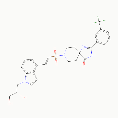 O=C1NC(c2cccc(C(F)(F)F)c2)=NC12CCN(S(=O)(=O)C=Cc1cccc3c1ccn3C[C@H](O)CO)CC2